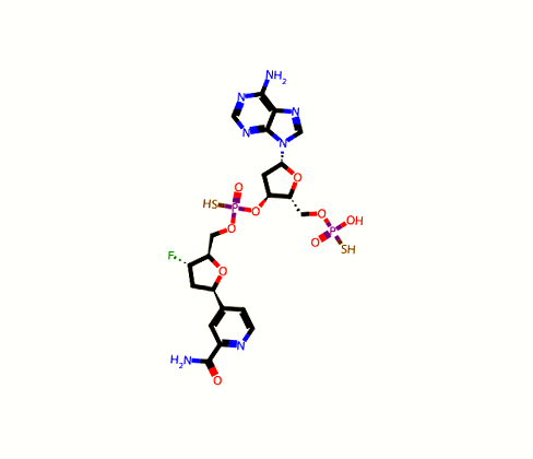 NC(=O)c1cc([C@H]2C[C@H](F)[C@@H](COP(=O)(S)O[C@H]3C[C@H](n4cnc5c(N)ncnc54)O[C@@H]3COP(=O)(O)S)O2)ccn1